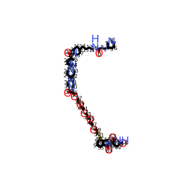 O=C(/C=C/c1cccnc1)NCCCCC1CCN(C(=O)c2ccc(N3CCC(N4CCN(C(=O)COCCOCCOCCOCCOCCSc5cccc6c5CN(C5CCC(=O)NC5=O)C6=O)CC4)CC3)nc2)CC1